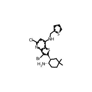 CC1(C)CC[C@H](N)[C@@H](c2sc3c(NCc4cccs4)cc(Cl)nc3c2Br)C1